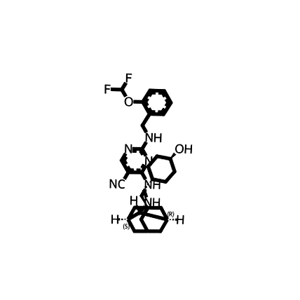 N#Cc1cnc(NCc2ccccc2OC(F)F)nc1NC[C@]12CC3C[C@H](C1)[C@@H](NC[C@H]1CC[C@H](O)CC1)[C@@H](C3)C2